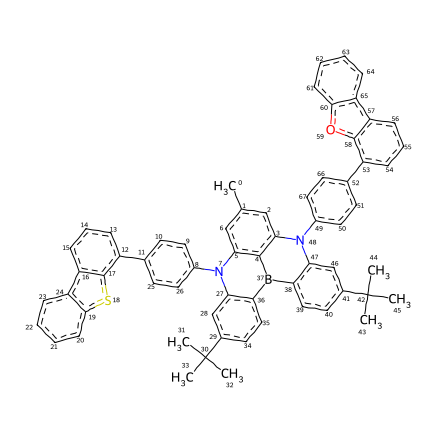 Cc1cc2c3c(c1)N(c1ccc(-c4cccc5c4sc4ccccc45)cc1)c1cc(C(C)(C)C)ccc1B3c1ccc(C(C)(C)C)cc1N2c1ccc(-c2cccc3c2oc2ccccc23)cc1